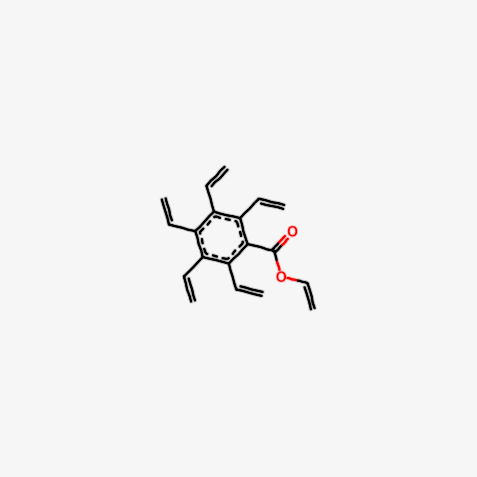 C=COC(=O)c1c(C=C)c(C=C)c(C=C)c(C=C)c1C=C